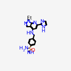 CCn1ncc2c(NCc3ccc(S(=N)(N)=O)cc3)cc(-c3ncc[nH]3)nc21